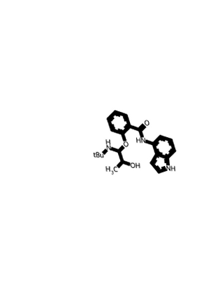 CC(O)C(NC(C)(C)C)Oc1ccccc1C(=O)Nc1cccc2[nH]ccc12